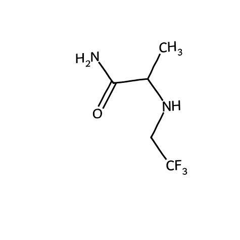 CC(NCC(F)(F)F)C(N)=O